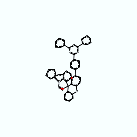 c1ccc(-c2nc(-c3ccccc3)nc(-c3ccc(-c4ccc5c(c4)C4(c6ccccc6O5)c5ccccc5-n5c6ccccc6c6cccc4c65)cc3)n2)cc1